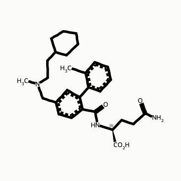 Cc1ccccc1-c1cc(CN(C)CCC2CCCCC2)ccc1C(=O)N[C@@H](CCC(N)=O)C(=O)O